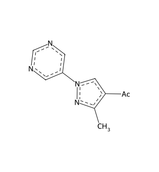 CC(=O)c1cn(-c2cncnc2)nc1C